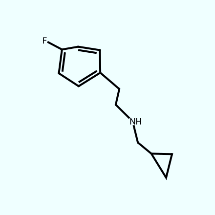 Fc1ccc(CCNCC2CC2)cc1